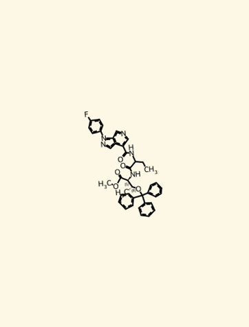 CCC(NC(=O)c1cncc2c1cnn2-c1ccc(F)cc1)C(=O)N[C@H](C(=O)OC)[C@@H](C)OC(c1ccccc1)(c1ccccc1)c1ccccc1